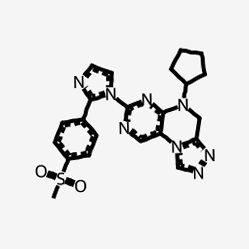 CS(=O)(=O)c1ccc(-c2nccn2-c2ncc3c(n2)N(C2CCCC2)Cc2nncn2-3)cc1